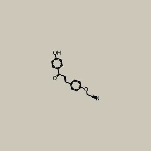 N#CCOc1ccc(/C=C/C(=O)c2ccc(O)cc2)cc1